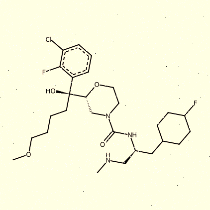 CNC[C@H](CC1CCC(F)CC1)NC(=O)N1CCO[C@@H]([C@](O)(CCCCOC)c2cccc(Cl)c2F)C1